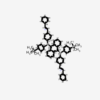 C[Si](C)(C)c1ccc(N(c2ccc(/C=C/c3ccccc3)cc2)c2c3ccccc3c(N(c3ccc(/C=C/c4ccccc4)cc3)c3ccc([Si](C)(C)C)cc3)c3ccccc23)cc1